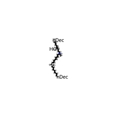 CCCCCCCCCCCCCCCCCS(C)(C)CCCCCCC/C(F)=C\CC[C@H](O)CCCCCCCCCCCCCC